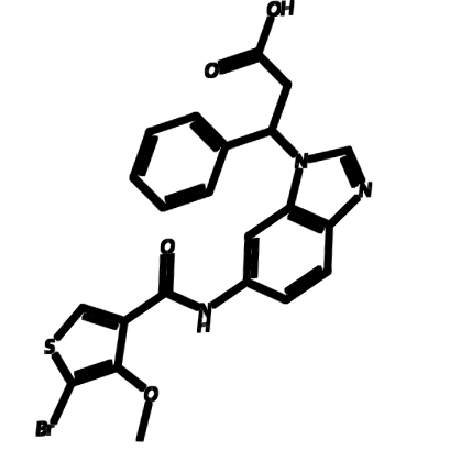 COc1c(C(=O)Nc2ccc3ncn(C(CC(=O)O)c4ccccc4)c3c2)csc1Br